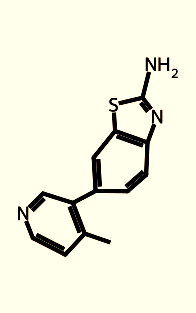 Cc1ccncc1-c1ccc2nc(N)sc2c1